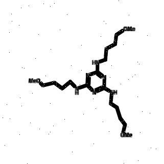 COCCCCNc1nc(NCCCCOC)nc(NCCCCOC)n1